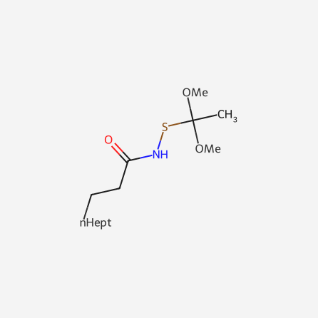 CCCCCCCCCC(=O)NSC(C)(OC)OC